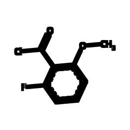 COc1cccc(F)c1C(=O)Cl